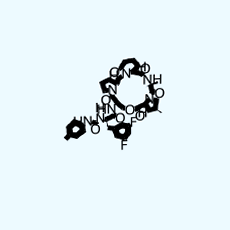 Cc1ccc(NC(=O)N[C@@H](Cc2cc(F)cc(F)c2)C(=O)N[C@H]2COC(=O)[C@@H]3C[C@@H](C)CN3C(=O)[C@H](C)NC(=O)[C@@H]3CCCCN3C(=O)[C@@H]3CCCN3C2=O)cc1